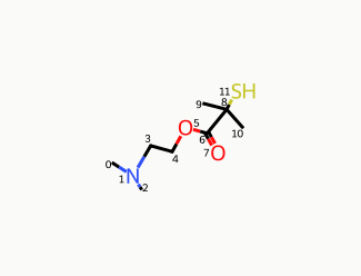 CN(C)CCOC(=O)C(C)(C)S